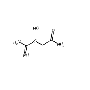 Cl.N=C(N)SCC(N)=O